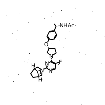 CC(=O)N[C@@H](C)c1ccc(O[C@@H]2CCN(c3nc(N4C[C@@H]5CC[C@@H](C4)O5)ncc3F)C2)cc1